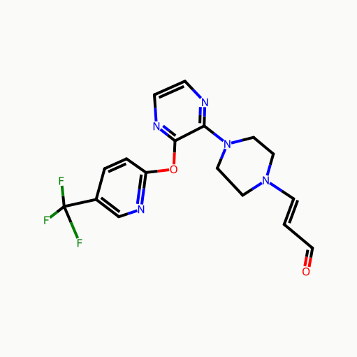 O=CC=CN1CCN(c2nccnc2Oc2ccc(C(F)(F)F)cn2)CC1